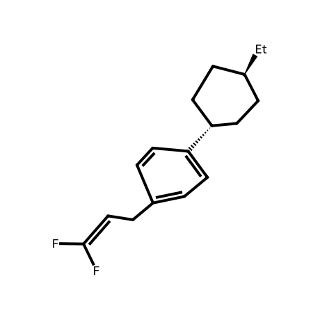 CC[C@H]1CC[C@H](c2ccc(CC=C(F)F)cc2)CC1